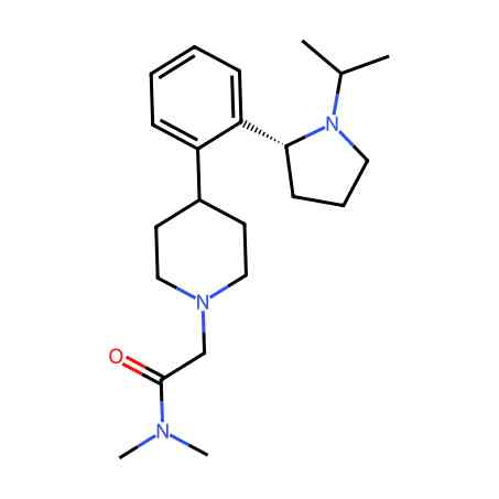 CC(C)N1CCC[C@@H]1c1ccccc1C1CCN(CC(=O)N(C)C)CC1